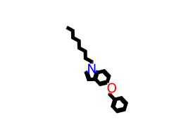 CCCCCCCCn1ccc2cc(OCc3ccccc3)ccc21